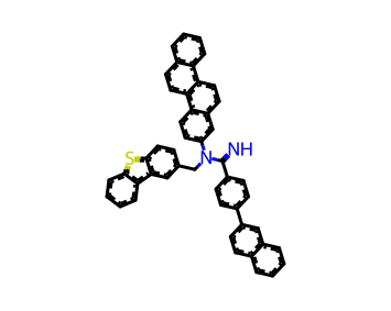 N=C(c1ccc(-c2ccc3ccccc3c2)cc1)N(Cc1ccc2sc3ccccc3c2c1)c1ccc2c(ccc3c4ccccc4ccc23)c1